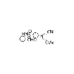 CC(=O)OCCN(CCC#N)c1ccc(S(=O)(=O)Nc2ccccc2C=O)cc1